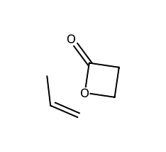 C=CC.O=C1CCO1